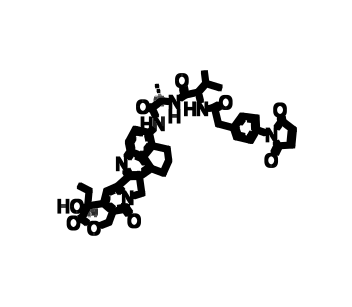 CC[C@@]1(O)C(=O)OCc2c1cc1n(c2=O)Cc2c-1nc1ccc(NC(=O)[C@H](C)NC(=O)C(NC(=O)Cc3ccc(N4C(=O)C=CC4=O)cc3)C(C)C)c3c1c2CCC3